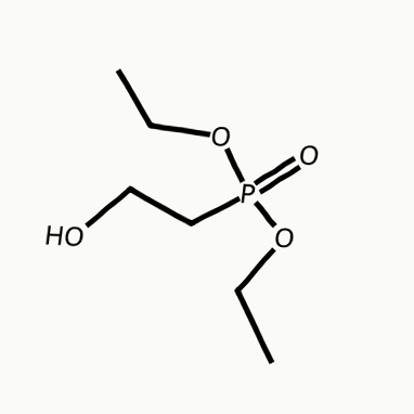 CCOP(=O)(CCO)OCC